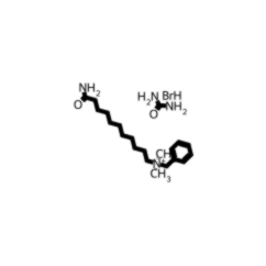 Br.C[N+](C)(CCCCCCCCCCC(N)=O)Cc1ccccc1.NC(N)=O